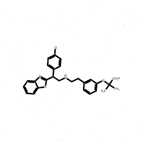 CC(C)(Oc1cccc(CCNCC(c2ccc(Cl)cc2)c2nc3ccccc3o2)c1)C(=O)O